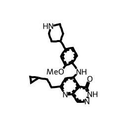 COc1cc(C2CCNCC2)ccc1Nc1cc(CCC2CC2)nc2cn[nH]c(=O)c12